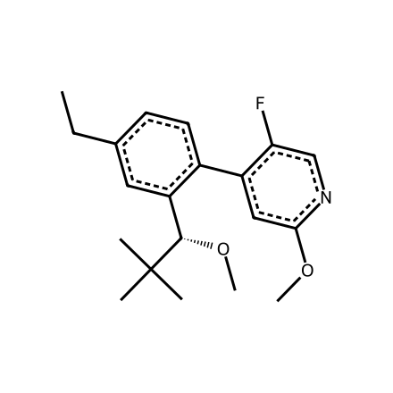 CCc1ccc(-c2cc(OC)ncc2F)c([C@H](OC)C(C)(C)C)c1